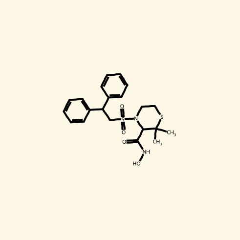 CC1(C)SCCN(S(=O)(=O)CC(c2ccccc2)c2ccccc2)C1C(=O)NO